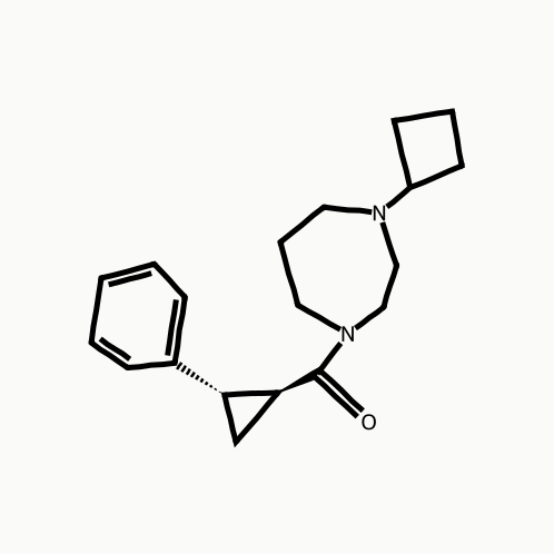 O=C([C@H]1C[C@@H]1c1ccccc1)N1CCCN(C2CCC2)CC1